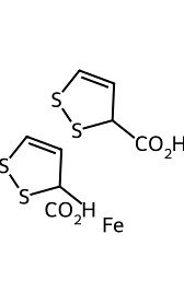 O=C(O)C1C=CSS1.O=C(O)C1C=CSS1.[Fe]